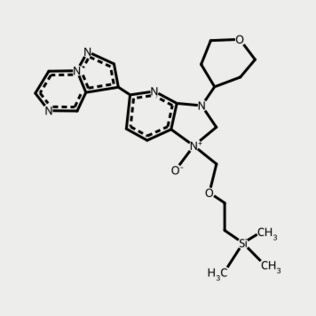 C[Si](C)(C)CCOC[N+]1([O-])CN(C2CCOCC2)c2nc(-c3cnn4ccncc34)ccc21